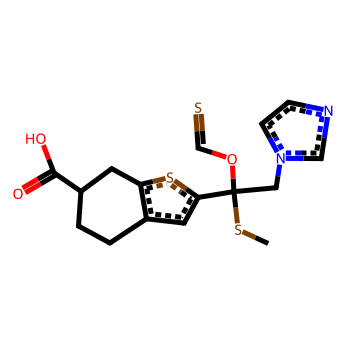 CSC(Cn1ccnc1)(OC=S)c1cc2c(s1)CC(C(=O)O)CC2